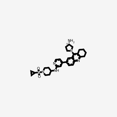 N[C@H]1CCN(c2c3c(nc4ccc(-c5ccnc(NC6CCN(S(=O)(=O)C7CC7)CC6)c5)cc24)CCCC3)C1